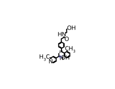 Cc1cc(/C(C[C@H](c2ccc(CC(=O)NCCO)cc2)c2ccccc2C)=N/O)ccn1